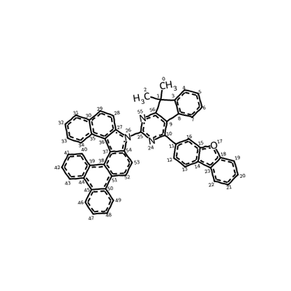 CC1(C)c2ccccc2-c2c(-c3ccc4c(c3)oc3ccccc34)nc(-n3c4ccc5ccccc5c4c4c5c6ccccc6c6ccccc6c5ccc43)nc21